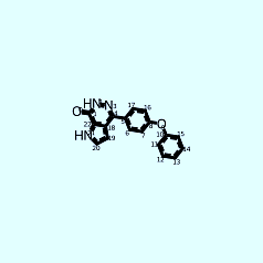 O=c1[nH]nc(-c2ccc(Oc3ccccc3)cc2)c2cc[nH]c12